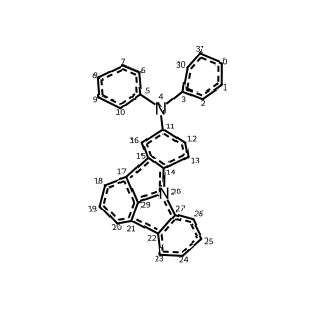 c1ccc(N(c2ccccc2)c2ccc3c(c2)c2cccc4c5ccccc5n3c42)cc1